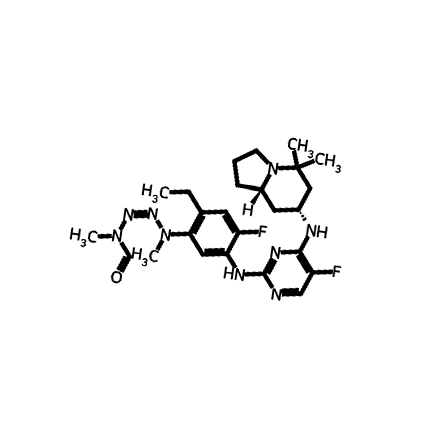 CCc1cc(F)c(Nc2ncc(F)c(N[C@@H]3C[C@@H]4CCCN4C(C)(C)C3)n2)cc1N(C)/N=N\N(C)C=O